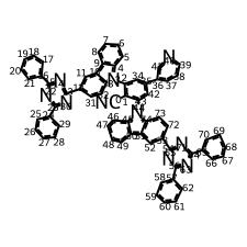 N#Cc1c(-n2c3ccccc3c3cc(-c4nc(-c5ccccc5)nc(-c5ccccc5)n4)ccc32)cc(-c2cccnc2)cc1-n1c2ccccc2c2cc(-c3nc(-c4ccccc4)nc(-c4ccccc4)n3)ccc21